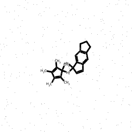 CCC[C]1([Hf][C]2(C)C(C)=C(C)C(C)=C2C)C=Cc2cc3c(cc21)CCC3